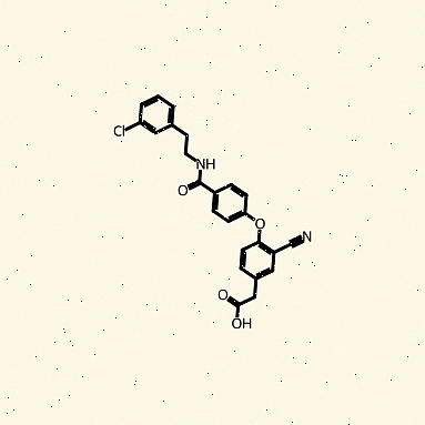 N#Cc1cc(CC(=O)O)ccc1Oc1ccc(C(=O)NCCc2cccc(Cl)c2)cc1